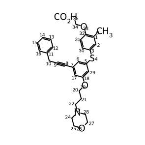 Cc1cc(Sc2cc(C#CCc3ccccc3)cc(OCCCN3CCOCC3)c2)ccc1OCC(=O)O